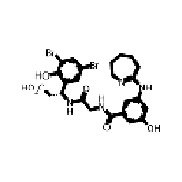 O=C(O)C[C@@H](NC(=O)CNC(=O)c1cc(O)cc(NC2=NCCCCC2)c1)c1cc(Br)cc(Br)c1O